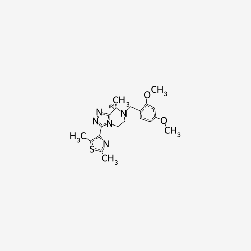 COc1ccc(CN2CCn3c(-c4nc(C)sc4C)nnc3[C@H]2C)c(OC)c1